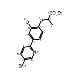 CCOC(=O)C(C)Oc1ccc(-c2ccc(Br)cn2)cc1O